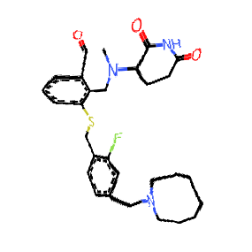 CN(Cc1c(C=O)cccc1SCc1ccc(CN2CCCCCCC2)cc1F)C1CCC(=O)NC1=O